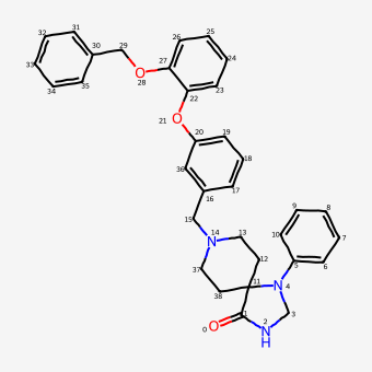 O=C1NCN(c2ccccc2)C12CCN(Cc1cccc(Oc3ccccc3OCc3ccccc3)c1)CC2